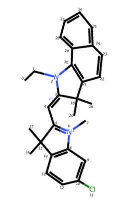 CCN1/C(=C/C2=[N+](C)c3cc(Cl)ccc3C2(C)C)C(C)(C)c2ccc3ccccc3c21